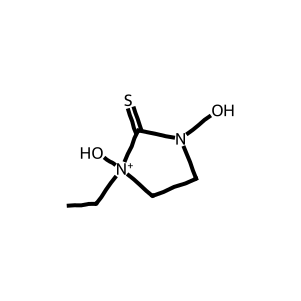 CC[N+]1(O)CCN(O)C1=S